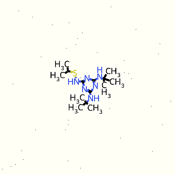 CC(C)SNc1nc(NC(C)(C)C)nc(NC(C)(C)C)n1